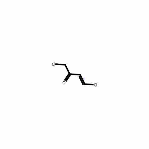 O=C(/C=C/Cl)CCl